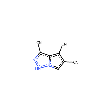 N#Cc1cn2[nH]nc(C#N)c2c1C#N